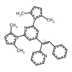 Cc1ccc(C)n1-c1cc(/C(=C/c2ccccc2)c2ccccn2)cc(-n2c(C)ccc2C)n1